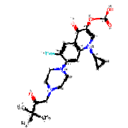 CC(C)(C)C(=O)CN1CCN(c2cc3c(cc2F)c(=O)c(OC(=O)O)cn3C2CC2)CC1